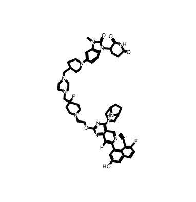 C#Cc1c(F)ccc2cc(O)cc(-c3ncc4c(N5CC6CCC(C5)N6)nc(OCCN5CCC(F)(CN6CCN(CC7CCN(c8ccc9c(c8)n(C)c(=O)n9C8CCC(=O)NC8=O)CC7)CC6)CC5)nc4c3F)c12